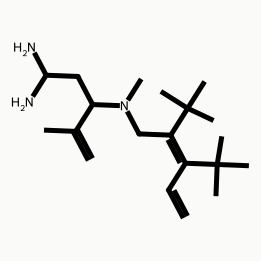 C=C/C(=C(\CN(C)C(CC(N)N)C(=C)C)C(C)(C)C)C(C)(C)C